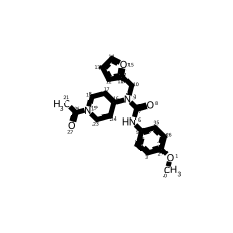 COc1ccc(NC(=O)N(Cc2ccco2)C2CCN(C(C)=O)CC2)cc1